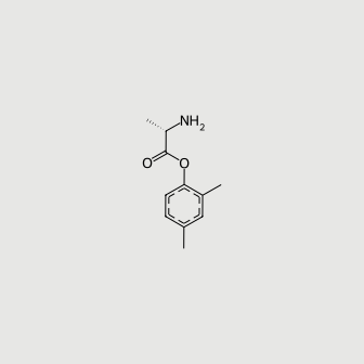 Cc1ccc(OC(=O)[C@H](C)N)c(C)c1